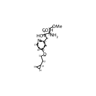 COC[C@H](N)[C@](O)(Cc1cc(OCCC2CC2)ccn1)C(=O)O